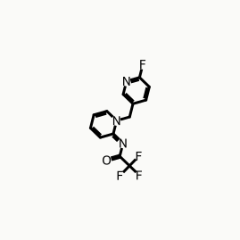 O=C(N=c1ccccn1Cc1ccc(F)nc1)C(F)(F)F